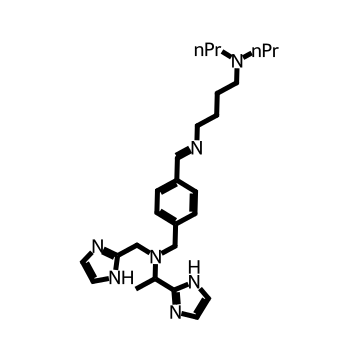 CCCN(CCC)CCCCN=Cc1ccc(CN(Cc2ncc[nH]2)C(C)c2ncc[nH]2)cc1